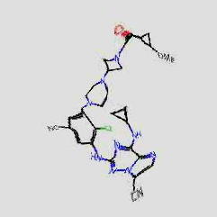 COC1CC1C(=O)N1CC(N2CCN(c3cc(C#N)cc(Nc4nc(NC5CC5)c5ncc(C#N)n5n4)c3Cl)CC2)C1